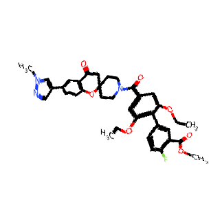 CCOc1cc(C(=O)N2CCC3(CC2)CC(=O)c2cc(-c4cnn(C)c4)ccc2O3)cc(OCC)c1-c1ccc(F)c(C(=O)OC)c1